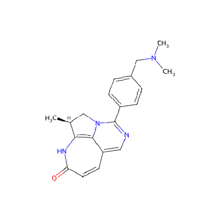 C[C@H]1CN2C(c3ccc(CN(C)C)cc3)=NC=C3C=CC(=O)NC1=C32